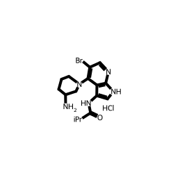 CC(C)C(=O)Nc1c[nH]c2ncc(Br)c(N3CCCC(N)C3)c12.Cl